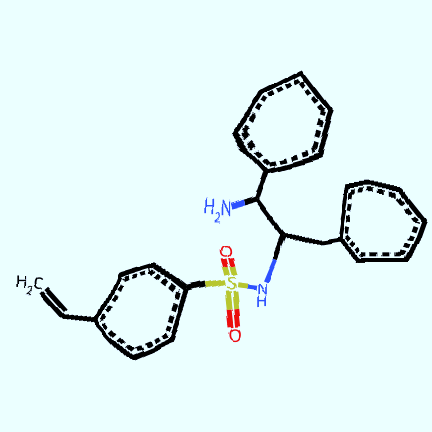 C=Cc1ccc(S(=O)(=O)NC(c2ccccc2)C(N)c2ccccc2)cc1